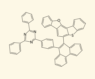 c1ccc(-c2nc(-c3ccccc3)nc(-c3ccc(-c4c(-c5cc6c7ccccc7oc6c6c5sc5ccccc56)c5ccccc5c5ccccc45)cc3)n2)cc1